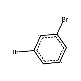 Brc1[c]c(Br)c[c]c1